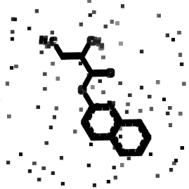 CC=C(C)C(=O)Oc1ccc2ccccc2n1